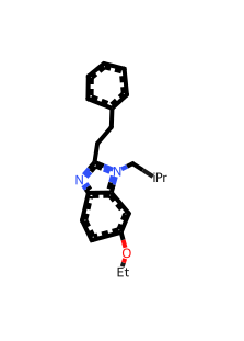 CCOc1ccc2nc(CCc3ccccc3)n(CC(C)C)c2c1